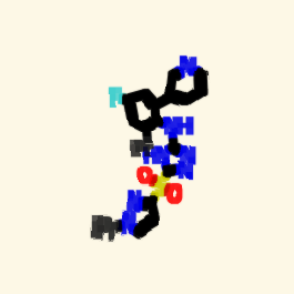 CC(C)c1cc(F)cc(-c2cccnc2)c1Nc1nnc(S(=O)(=O)c2ccn(C(C)C)n2)[nH]1